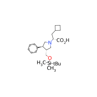 CC(C)(C)[Si](C)(C)OC[C@H]1CN([C@H](CC2CCC2)C(=O)O)C[C@@H]1c1ccccc1